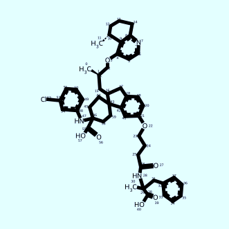 C[C@@H](COc1ccnc2c1[C@H](C)CCC2)CC1Cc2ccc(OCCCC(=O)NC(C)(Cc3ccccc3)C(=O)O)cc2C12CCC(Nc1cccc(Cl)c1)(C(=O)O)CC2